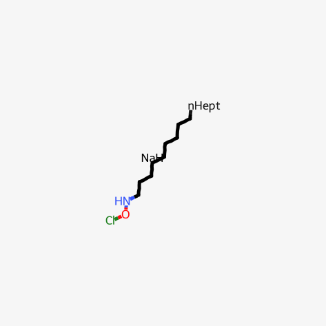 CCCCCCCCCCCCCCCCNOCl.[NaH]